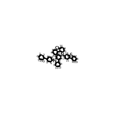 c1ccc(-c2ccc(-n3c4ccccc4c4cc(N(c5ccc6c(c5)sc5ccccc56)c5cccc6oc7ccccc7c56)ccc43)cc2)cc1